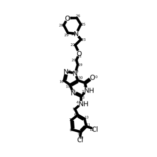 O=c1[nH]c(NCc2ccc(Cl)c(Cl)c2)nc2cnn(CCOCCN3CCOCC3)c12